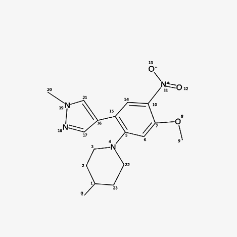 [CH2]C1CCN(c2cc(OC)c([N+](=O)[O-])cc2-c2cnn(C)c2)CC1